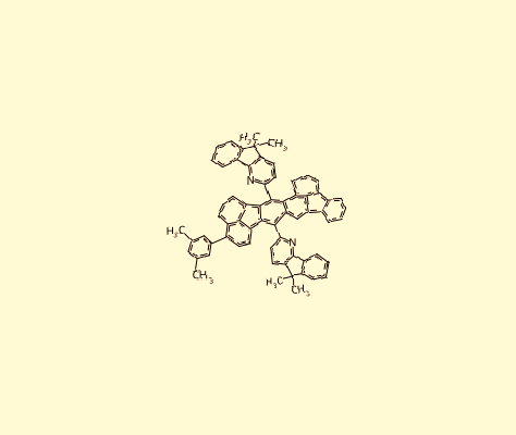 Cc1cc(C)cc(-c2ccc3c4c(-c5ccc6c(n5)-c5ccccc5C6(C)C)c5cc6c7ccccc7c7cccc(c5c(-c5ccc8c(n5)-c5ccccc5C8(C)C)c4c4cccc2c34)c76)c1